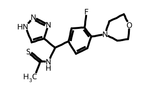 CC(=S)NC(c1ccc(N2CCOCC2)c(F)c1)c1c[nH]nn1